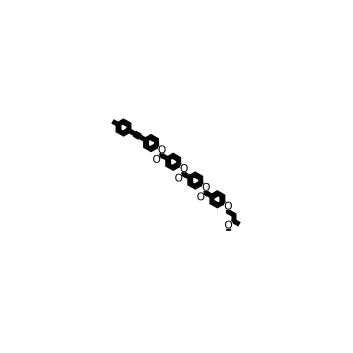 COC(C)CCOc1ccc(C(=O)Oc2ccc(C(=O)Oc3ccc(C(=O)Oc4ccc(C#Cc5ccc(C)cc5)cc4)cc3)cc2)cc1